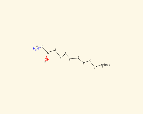 CCCCCCCCCCCCCCCC(O)CN